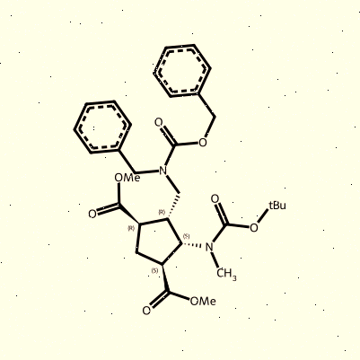 COC(=O)[C@H]1C[C@@H](C(=O)OC)[C@H](CN(Cc2ccccc2)C(=O)OCc2ccccc2)[C@@H]1N(C)C(=O)OC(C)(C)C